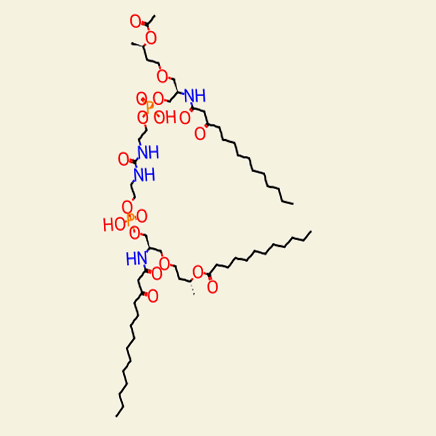 CCCCCCCCCCCC(=O)CC(=O)N[C@H](COCC[C@@H](C)OC(C)=O)COP(=O)(O)OCCNC(=O)NCCOP(=O)(O)OC[C@@H](COCC[C@@H](C)OC(=O)CCCCCCCCCCC)NC(=O)CC(=O)CCCCCCCCCCC